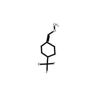 COC=C1CCC(C(F)(F)F)CC1